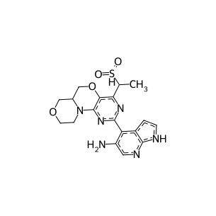 CC(c1nc(-c2c(N)cnc3[nH]ccc23)nc2c1OCC1COCCN21)[SH](=O)=O